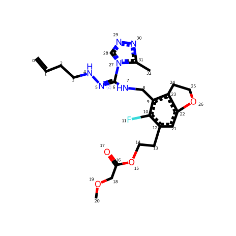 C=CCCN/N=C(/NCc1c(F)c(CCOC(=O)COC)cc2c1CCO2)n1cnnc1C